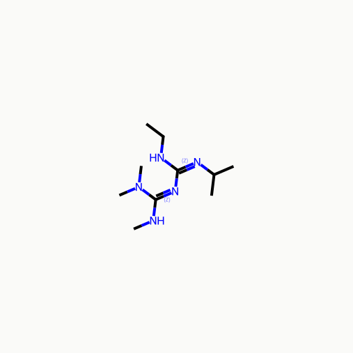 CCNC(=N/C(C)C)/N=C(/NC)N(C)C